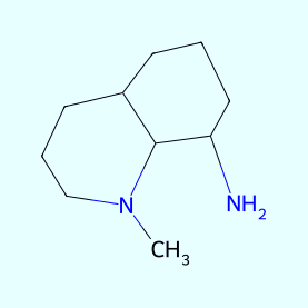 CN1CCCC2CCCC(N)C21